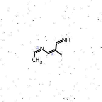 C/C=N\C=C(\I)C=N